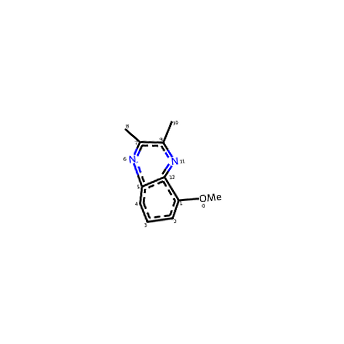 COc1cccc2nc(C)c(C)nc12